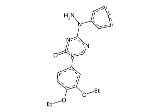 CCOc1ccc(-n2cnc(N(N)c3ccccc3)nc2=O)cc1OCC